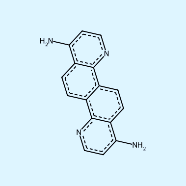 Nc1ccnc2c1ccc1c2ccc2c(N)ccnc21